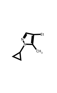 CCc1cnn(C2CC2)c1C